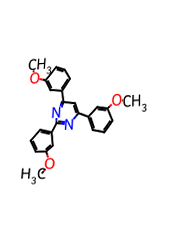 COc1cccc(-c2cc(-c3cccc(OC)c3)nc(-c3cccc(OC)c3)n2)c1